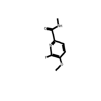 CNC(=O)c1ccc(OC)c(F)n1